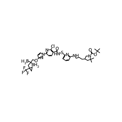 BC(B)(COc1ccn(-c2ccc(C(=O)NSc3cccc(NCCCC4CN(C(=O)OC(C)(C)C)C(C)(C)C4)n3)c(Cl)n2)n1)CC1(C(F)(F)F)CC1